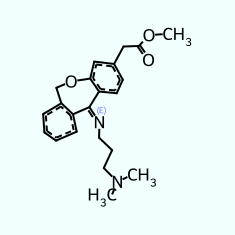 COC(=O)Cc1ccc2c(c1)OCc1ccccc1/C2=N\CCCN(C)C